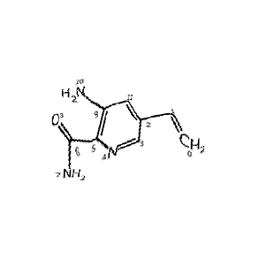 C=Cc1cnc(C(N)=O)c(N)c1